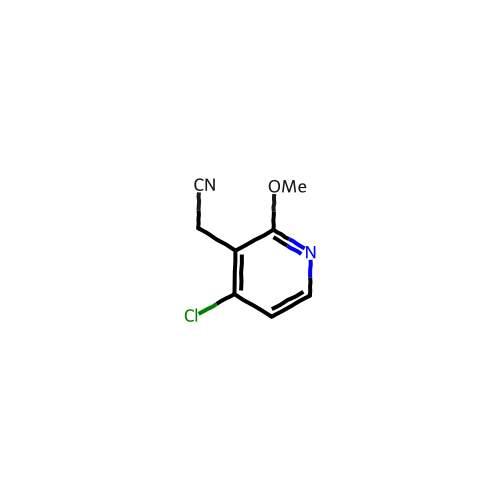 COc1nccc(Cl)c1CC#N